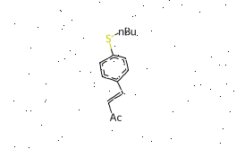 CCCCSc1ccc(C=CC(C)=O)cc1